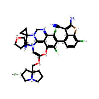 N#Cc1c(N)sc2c(F)ccc(-c3c(F)c4c5c(c3Cl)=NCN(C3(C#N)CC3)C=5N(C3CCOC3)C=C(OC[C@@]35CCCN3C[C@H](F)C5)O4)c12